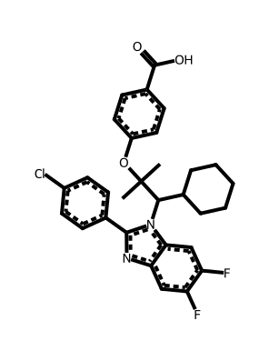 CC(C)(Oc1ccc(C(=O)O)cc1)C(C1CCCCC1)n1c(-c2ccc(Cl)cc2)nc2cc(F)c(F)cc21